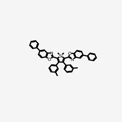 Cc1cccc(C2=C(c3nc4cc(-c5ccccc5)ccc4o3)[Si](C)(C)C(c3nc4cc(-c5ccccc5)ccc4o3)=C2c2cccc(C)c2)c1